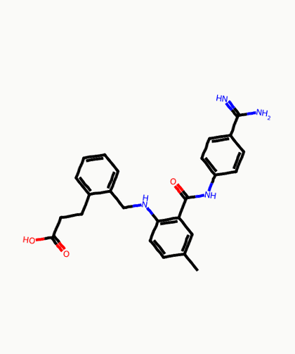 Cc1ccc(NCc2ccccc2CCC(=O)O)c(C(=O)Nc2ccc(C(=N)N)cc2)c1